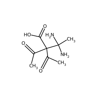 CC(=O)C(C(C)=O)(C(=O)O)C(C)(N)N